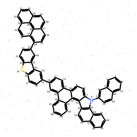 c1ccc2cc(-n3c4ccc5c6ccc(-c7ccc8sc9ccc(-c%10ccc%11ccc%12cccc%13ccc%10c%11c%12%13)cc9c8c7)cc6c6ccccc6c5c4c4ccc5ccccc5c43)ccc2c1